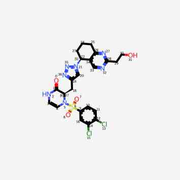 O=C1NC=CN(S(=O)(=O)c2ccc(Cl)c(Cl)c2)[C@@H]1Cc1cn([C@H]2CCCc3nc(CCO)ncc32)nn1